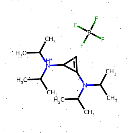 CC(C)N(C1=CC1[NH+](C(C)C)C(C)C)C(C)C.F[B-](F)(F)F